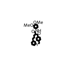 COc1ccc(NC(=O)C(=CC=Cc2ccccc2)C(=O)c2ccc(CC(C)C)cc2)cc1OC